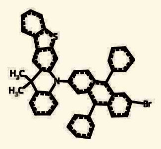 CC1(C)c2ccccc2N(c2ccc3c(-c4ccccc4)c4cc(Br)ccc4c(-c4ccccc4)c3c2)c2cc3sc4ccccc4c3cc21